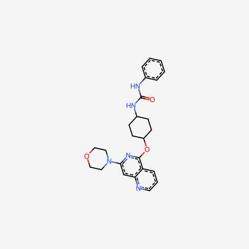 O=C(Nc1ccccc1)NC1CCC(Oc2nc(N3CCOCC3)cc3ncccc23)CC1